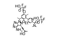 CCOc1c(C(C)n2nc(C#C[C@@H](C)O)c3c(N)ncnc32)cc(Cl)c(C)c1-c1ccc(C(=O)N(C)C)nc1.O=C(O)C(F)(F)F.O=C(O)C(F)(F)F